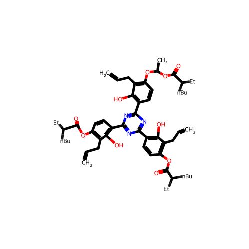 C=CCc1c(OC(=O)C(CC)CCCC)ccc(-c2nc(-c3ccc(OC(=O)C(CC)CCCC)c(CC=C)c3O)nc(-c3ccc(OC(C)OC(=O)C(CC)CCCC)c(CC=C)c3O)n2)c1O